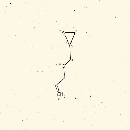 C=CCSCC1CS1